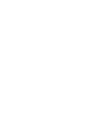 CCCCCC1CCC(C2CCC(C)([S+]([O-])CCCC)CC2)CC1